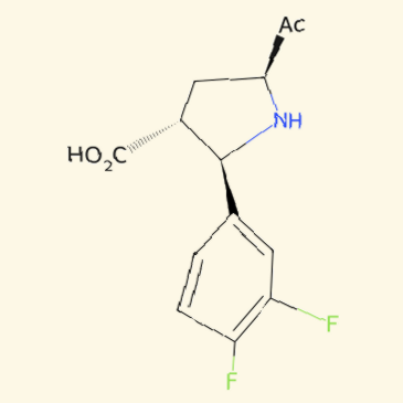 CC(=O)[C@@H]1C[C@@H](C(=O)O)[C@H](c2ccc(F)c(F)c2)N1